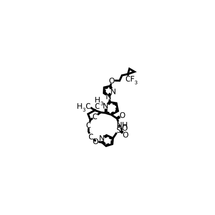 CC1(C)CC2CCCOc3ccc(cn3)S(=O)(=O)NC(=O)c3ccc(-n4ccc(OCCC5(C(F)(F)F)CC5)n4)nc3C1C2